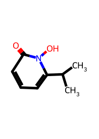 CC(C)c1cccc(=O)n1O